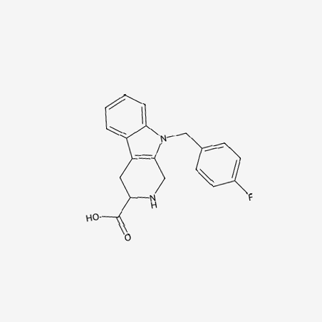 O=C(O)C1Cc2c(n(Cc3ccc(F)cc3)c3ccccc23)CN1